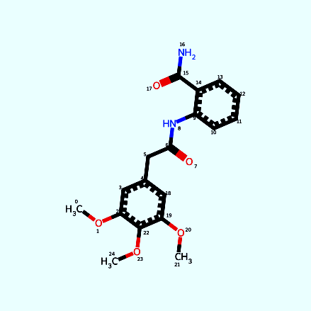 COc1cc(CC(=O)Nc2ccccc2C(N)=O)cc(OC)c1OC